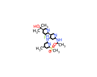 CC(=O)Nc1cc(Nc2cc(C)cc(S(C)(=O)=O)n2)c(-c2ncc(C(C)(C)O)cc2F)cn1